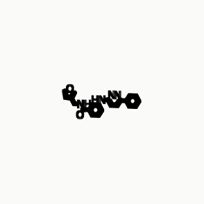 O=C(NCc1ccoc1)c1cccc(Nc2ccc(-c3ccccc3)nn2)c1